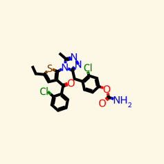 CCc1cc(C(=O)c2ccccc2Cl)c(-n2c(C)nnc2Cc2ccc(OC(N)=O)cc2Cl)s1